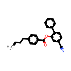 C=CCCc1ccc(C(=O)Oc2cc(C#N)ccc2-c2ccccc2)cc1